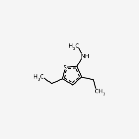 CCc1cc(CC)c(NC)s1